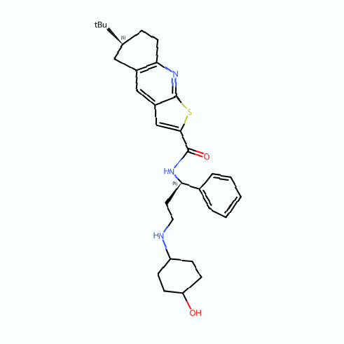 CC(C)(C)[C@H]1CCc2nc3sc(C(=O)N[C@H](CCNC4CCC(O)CC4)c4ccccc4)cc3cc2C1